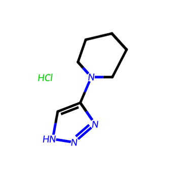 Cl.c1[nH]nnc1N1CCCCC1